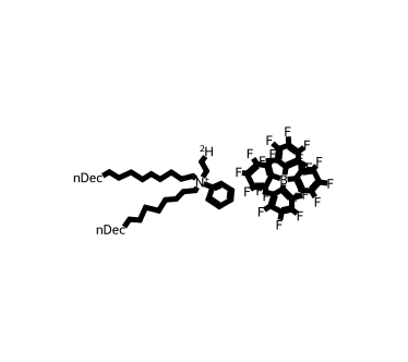 Fc1c(F)c(F)c([B-](c2c(F)c(F)c(F)c(F)c2F)(c2c(F)c(F)c(F)c(F)c2F)c2c(F)c(F)c(F)c(F)c2F)c(F)c1F.[2H]CC[N+](CCCCCCCCCCCCCCCCCC)(CCCCCCCCCCCCCCCCCCC)c1ccccc1